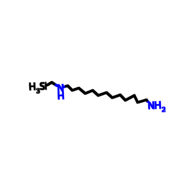 NCCCCCCCCCCCCCNC[SiH3]